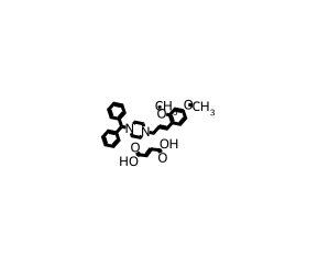 COc1ccc(C=CCN2CCN(C(c3ccccc3)c3ccccc3)CC2)c(OC)c1.O=C(O)C=CC(=O)O